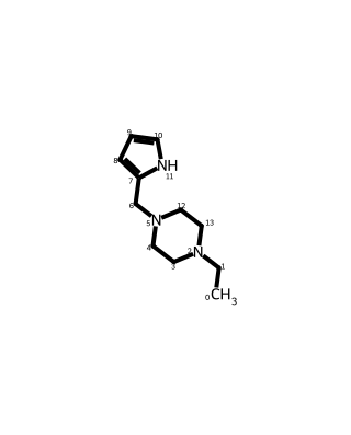 CCN1CCN(Cc2ccc[nH]2)CC1